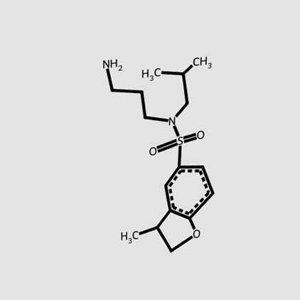 CC(C)CN(CCCN)S(=O)(=O)c1ccc2c(c1)C(C)CO2